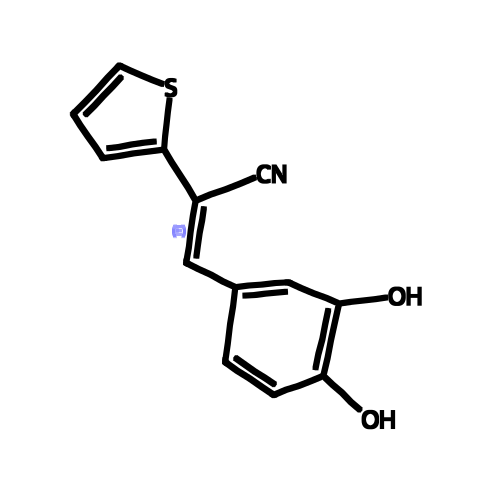 N#C/C(=C\c1ccc(O)c(O)c1)c1cccs1